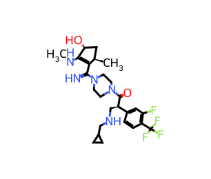 CNC1=C(C(=N)N2CCN(C(=O)[C@H](CNCC3CC3)c3ccc(C(F)(F)F)c(F)c3)CC2)[C@H](C)C[C@@H]1O